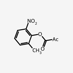 CC(=O)C(=O)Oc1c(C)cccc1[N+](=O)[O-]